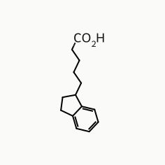 O=C(O)CCCCC1CCc2ccccc21